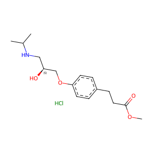 COC(=O)CCc1ccc(OC[C@@H](O)CNC(C)C)cc1.Cl